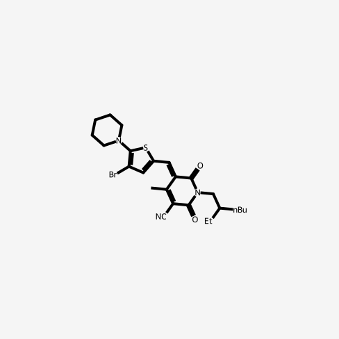 CCCCC(CC)CN1C(=O)C(C#N)=C(C)/C(=C\c2cc(Br)c(N3CCCCC3)s2)C1=O